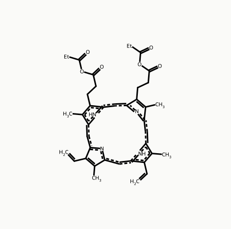 C=CC1=C(C)c2cc3[nH]c(cc4nc(cc5[nH]c(cc1n2)c(C)c5CCC(=O)OC(=O)CC)C(CCC(=O)OC(=O)CC)=C4C)c(C)c3C=C